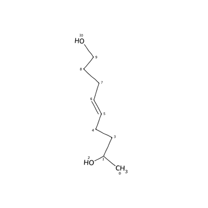 CC(O)CCC=CCCCO